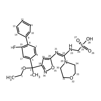 CCOC(C)(c1ccc(-c2ccccc2)c(F)c1)c1cc(N=C(NCS(=O)(=O)O)N2CCOCC2)on1